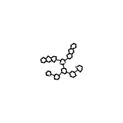 c1ccc(-c2cccc(-c3cc(-c4cccc(-c5ccccn5)c4)cc(-c4nc(-c5ccc6cc7ccccc7cc6c5)cc(-c5ccc6cc7ccccc7cc6c5)n4)c3)c2)nc1